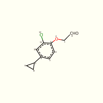 O=CCOc1ccc(C2CC2)cc1Cl